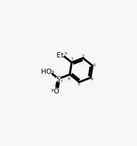 CCc1ccccc1S(=O)O